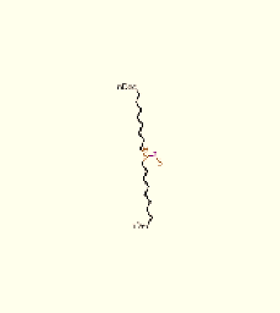 CCCCCCCCCCCCCCCCCC[SH](CCCCCCCCCCCCCCCCCC)P=S